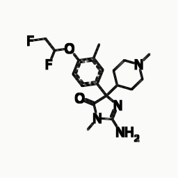 Cc1cc(C2(C3CCN(C)CC3)N=C(N)N(C)C2=O)ccc1OC(F)CF